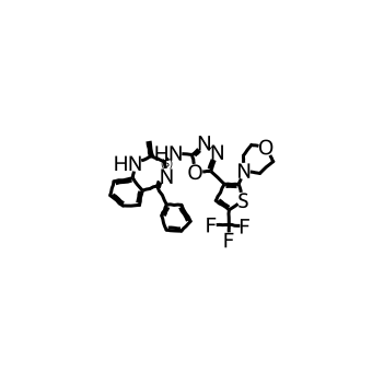 C=C1Nc2ccccc2C(c2ccccc2)=N[C@@H]1Nc1nnc(-c2cc(C(F)(F)F)sc2N2CCOCC2)o1